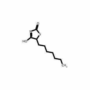 CCCCCCCC1SC(=O)N=C1O